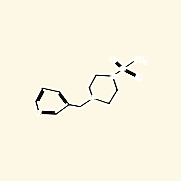 CS(=O)(=O)N1CCN(Cc2c[c]cnc2)CC1